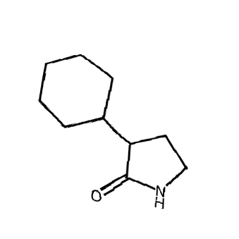 O=C1NCCC1C1CCCCC1